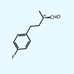 C[C@@H](C=O)CCc1ccc(F)cc1